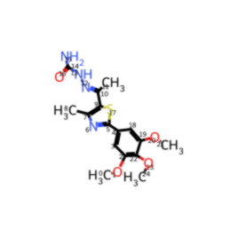 COc1cc(-c2nc(C)c(C(C)=NNC(N)=O)s2)cc(OC)c1OC